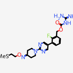 CSCCON=C1CCN(c2ncc(-c3cccc(COC(=O)NC(=N)N)c3F)cn2)CC1